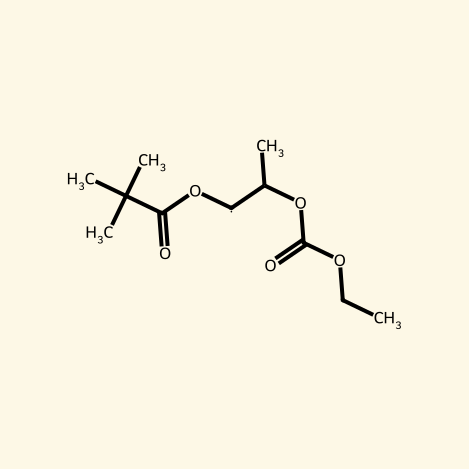 CCOC(=O)OC(C)[CH]OC(=O)C(C)(C)C